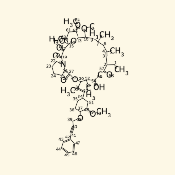 CCC1/C=C(\C)CC(C)CC(OC)C2OC(O)(C(=O)C(=O)N3CCCCC3C(=O)OC(C(C)=CC3CCC(OCC#Cc4ccccc4)C(OC)C3)C(C)C(O)CC1=O)C(C)CC2OC